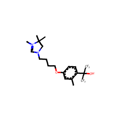 Cc1cc(OCCCCN2C=[N+](C)C(C)(C)C2)ccc1C(O)(C(F)(F)F)C(F)(F)F